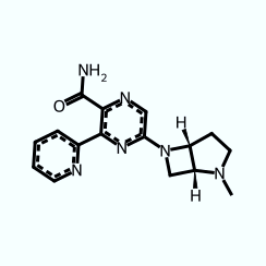 CN1CC[C@@H]2[C@H]1CN2c1cnc(C(N)=O)c(-c2ccccn2)n1